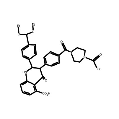 CCOC(OCC)c1ccc(C2Nc3cccc(C(=O)O)c3C(=O)C2c2ccc(C(=O)N3CCN(C(=O)C(C)C)CC3)cc2)cc1